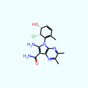 CC1=C(n2c(N)c(C(N)=O)c3nc(C)c(C)nc32)[C@H](Cl)[C@H](O)C=C1